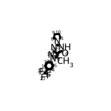 Cc1c2c(=O)[nH]c(N3CCCC3)nc2nn1-c1ccc(C(F)(F)F)cc1